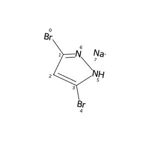 Brc1cc(Br)[nH]n1.[Na]